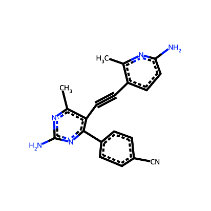 Cc1nc(N)ccc1C#Cc1c(C)nc(N)nc1-c1ccc(C#N)cc1